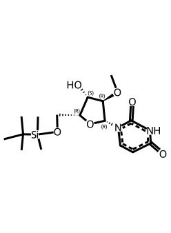 CO[C@@H]1[C@@H](O)[C@@H](CO[Si](C)(C)C(C)(C)C)O[C@H]1n1ccc(=O)[nH]c1=O